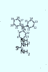 NNC(N)=S.c1ccc(P(c2ccccc2)c2ccccc2)cc1